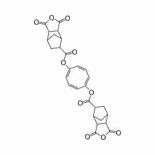 O=C(OC1=C/C=C\C(OC(=O)C2CC3CC2C2C(=O)OC(=O)C32)=C/C=C\1)C1CC2CC1C1C(=O)OC(=O)C21